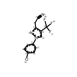 N#CCc1nn(-c2ccc(Cl)cc2)cc1C(F)(F)F